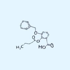 CCCC(=O)Oc1c(OCc2ccccc2)cccc1C(=O)O